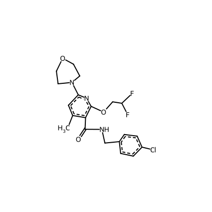 Cc1cc(N2CCOCC2)nc(OCC(F)F)c1C(=O)NCc1ccc(Cl)cc1